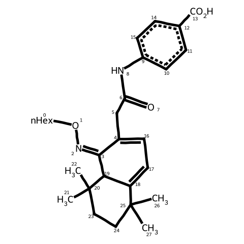 CCCCCCON=C1C(CC(=O)Nc2ccc(C(=O)O)cc2)=CC=C2C1C(C)(C)CCC2(C)C